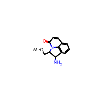 COCC1C(N)c2cccc3ccc(=O)n1c23